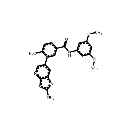 COc1cc(NC(=O)c2ccc(C)c(-c3cnc4sc(N)nc4c3)c2)cc(OC)c1